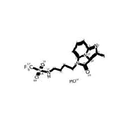 Cc1nc2cccc3n(CCCCNS(=O)(=O)C(F)(F)F)c(=O)c1n23.Cl